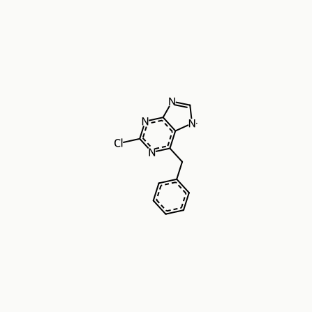 Clc1nc(Cc2ccccc2)c2c(n1)N=C[N]2